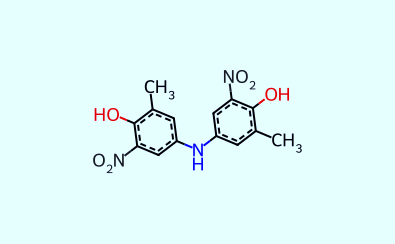 Cc1cc(Nc2cc(C)c(O)c([N+](=O)[O-])c2)cc([N+](=O)[O-])c1O